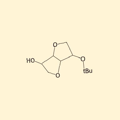 CC(C)(C)OC1COC2C(O)COC12